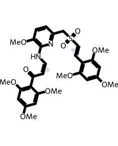 COc1cc(OC)c(/C=C/S(=O)(=O)Cc2ccc(OC)c(N/C=C\C(=O)c3c(OC)cc(OC)cc3OC)n2)c(OC)c1